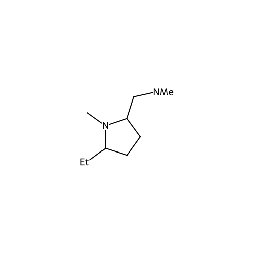 CCC1CCC(CNC)N1C